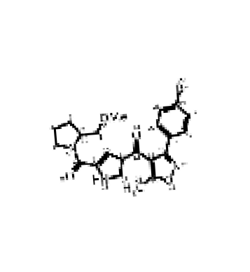 COC[C@@H]1CCCN1C(=O)C1=CC(C(=O)c2c(-c3ccc(Br)cc3)noc2C)CN1